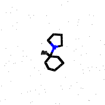 CC(=O)C1(N2CCCC2)CCCCC1